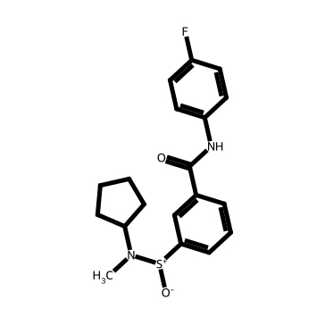 CN(C1CCCC1)[S+]([O-])c1cccc(C(=O)Nc2ccc(F)cc2)c1